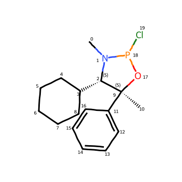 CN1[C@@H](C2CCCCC2)[C@](C)(c2ccccc2)OP1Cl